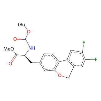 COC(=O)[C@H](Cc1ccc2c(c1)OCc1cc(F)c(F)cc1-2)NC(=O)OC(C)(C)C